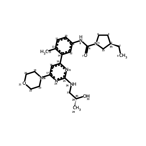 CC[C@@H]1CCN(C(=O)Nc2ccc(C)c(-c3cc(N4CCOCC4)nc(NC[C@@H](C)O)n3)c2)C1